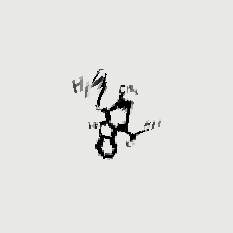 CCOc1c(C)cc(C(=O)O)c2c1[nH]c1ccccc12